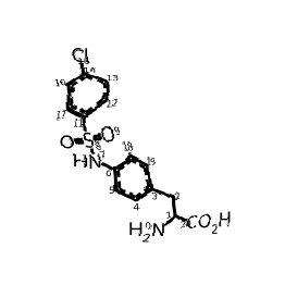 NC(Cc1ccc(NS(=O)(=O)c2ccc(Cl)cc2)cc1)C(=O)O